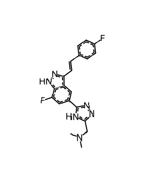 CN(C)Cc1nnc(-c2cc(F)c3[nH]nc(C=Cc4ccc(F)cc4)c3c2)[nH]1